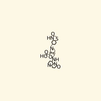 COc1ccc2nccc(NC(=O)C[C@@H]3CCN(Cc4ccc5c(c4)NC(=O)CS5)C[C@@H]3CC(=O)O)c2n1